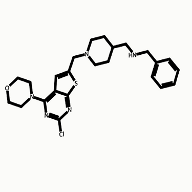 Clc1nc(N2CCOCC2)c2cc(CN3CCC(CNCc4ccccc4)CC3)sc2n1